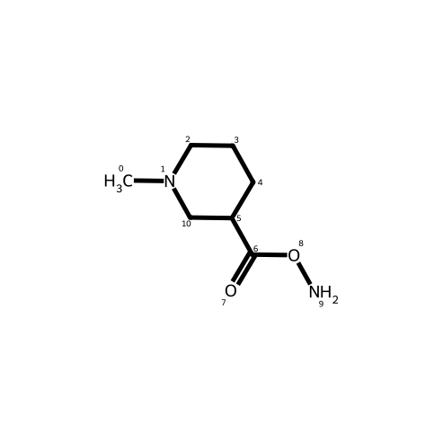 CN1CCCC(C(=O)ON)C1